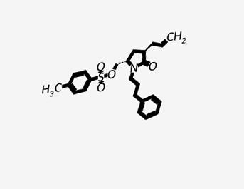 C=CC[C@@H]1C[C@@H](COS(=O)(=O)c2ccc(C)cc2)N(CCCc2ccccc2)C1=O